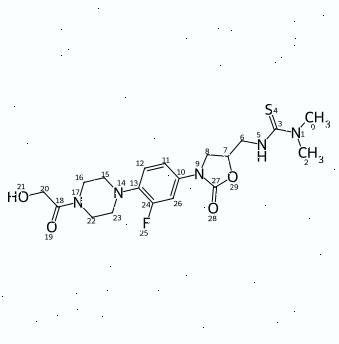 CN(C)C(=S)NCC1CN(c2ccc(N3CCN(C(=O)CO)CC3)c(F)c2)C(=O)O1